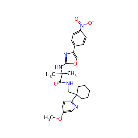 COc1ccc(C2(CNC(=O)C(C)(C)Nc3nc(-c4ccc([N+](=O)[O-])cc4)co3)CCCCC2)nc1